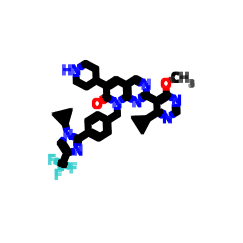 COc1ncnc(C2CC2)c1-c1ncc2cc(C3CCNCC3)c(=O)n(Cc3ccc(-c4nc(C(F)(F)F)cn4C4CC4)cc3)c2n1